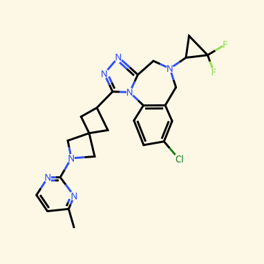 Cc1ccnc(N2CC3(CC(c4nnc5n4-c4ccc(Cl)cc4CN(C4CC4(F)F)C5)C3)C2)n1